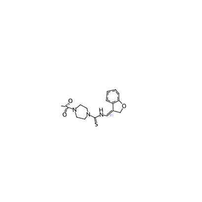 CS(=O)(=O)N1CCN(C(=S)N/C=C2/COc3ccccc32)CC1